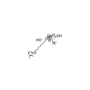 Cc1cccc(OCCCCCCCCOP(=O)(O)O[C@H](CC(=O)O)C[N+](C)(C)C)c1C.[OH-]